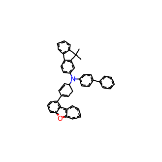 CC1(C)c2ccccc2-c2ccc(N(c3ccc(-c4ccccc4)cc3)C3C=CC(c4cccc5oc6ccccc6c45)=CC3)cc21